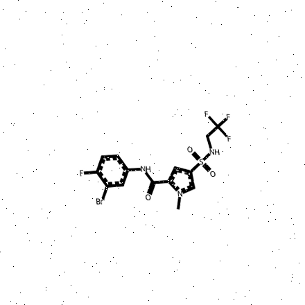 Cn1cc(S(=O)(=O)NCC(F)(F)F)cc1C(=O)Nc1ccc(F)c(Br)c1